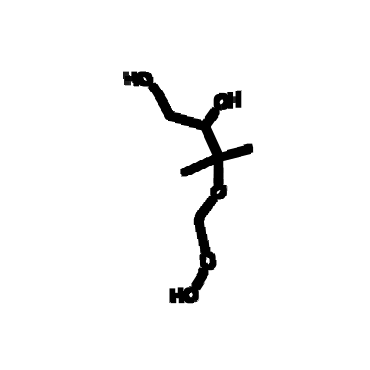 CC(C)(OCOO)C(O)CO